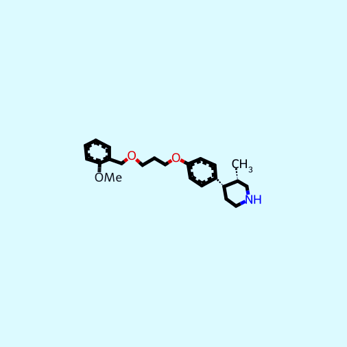 COc1ccccc1COCCCOc1ccc([C@H]2CCNC[C@H]2C)cc1